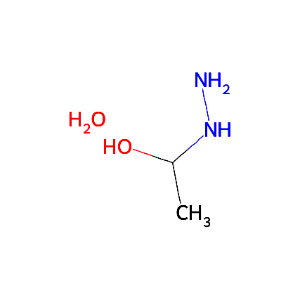 CC(O)NN.O